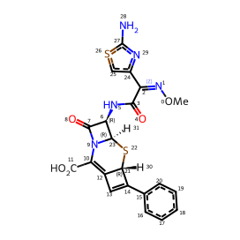 CO/N=C(\C(=O)N[C@@H]1C(=O)N2C(C(=O)O)=C3C=C(c4ccccc4)[C@H]3S[C@H]12)c1csc(N)n1